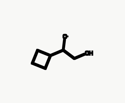 [O]C(CO)C1CCC1